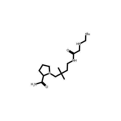 CC(C)(C)CNCC(=O)NCCC(C)(C)CN1CCCC1C(N)=O